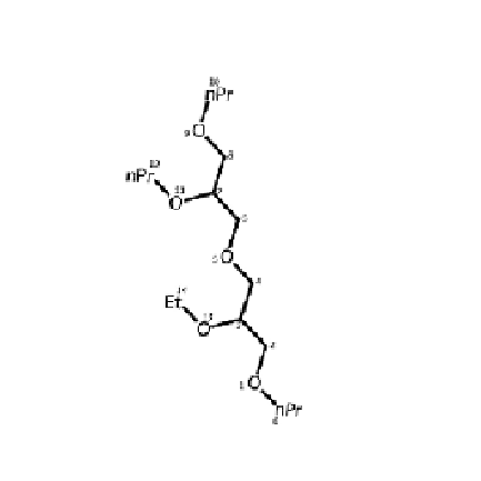 CCCOCC(COCC(COCCC)OCCC)OCC